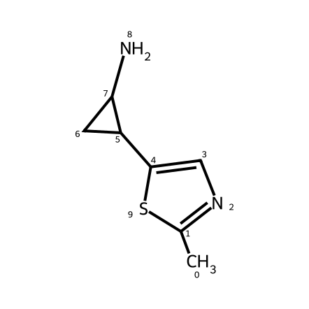 Cc1ncc(C2CC2N)s1